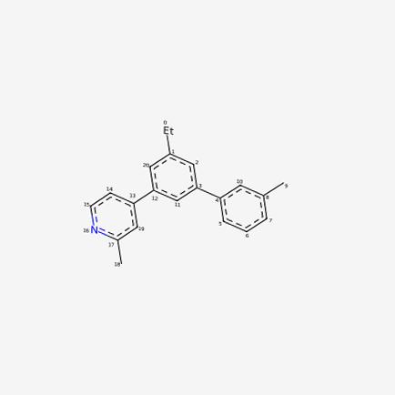 CCc1cc(-c2cccc(C)c2)cc(-c2ccnc(C)c2)c1